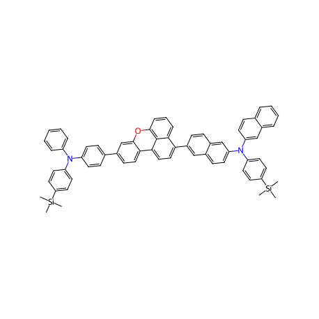 C[Si](C)(C)c1ccc(N(c2ccccc2)c2ccc(-c3ccc4c(c3)Oc3cccc5c(-c6ccc7cc(N(c8ccc([Si](C)(C)C)cc8)c8ccc9ccccc9c8)ccc7c6)ccc-4c35)cc2)cc1